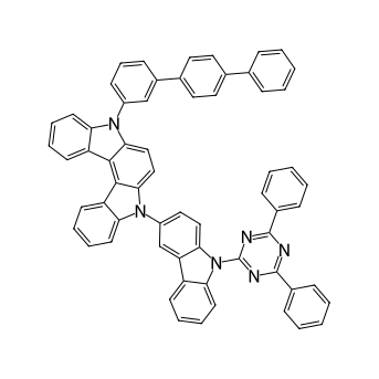 c1ccc(-c2ccc(-c3cccc(-n4c5ccccc5c5c6c7ccccc7n(-c7ccc8c(c7)c7ccccc7n8-c7nc(-c8ccccc8)nc(-c8ccccc8)n7)c6ccc54)c3)cc2)cc1